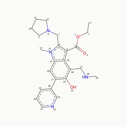 CCOC(=O)c1c(CN2CCCC2)n(C)c2cc(-c3cccnc3)c(O)c(CNC)c12